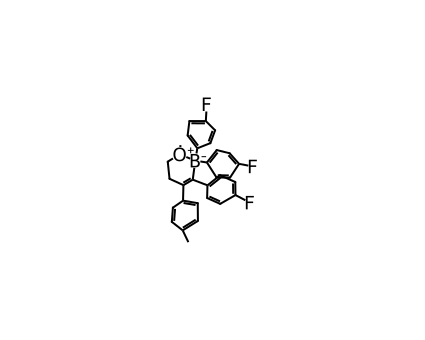 Cc1ccc(C2=C(c3ccc(F)cc3)[B-](c3ccc(F)cc3)(c3ccc(F)cc3)[O+](C)CC2)cc1